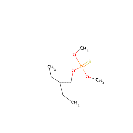 CCC(CC)COP(=S)(OC)OC